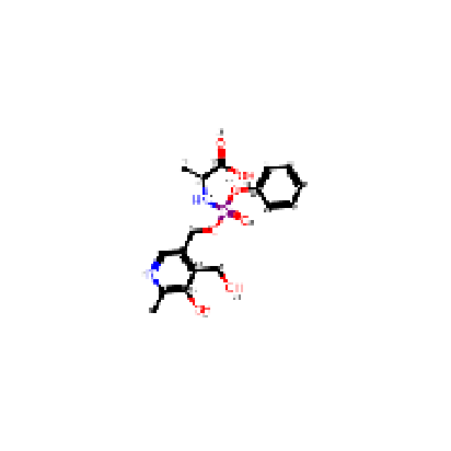 Cc1ncc(COP(=O)(N[C@@H](C)C(=O)O)Oc2ccccc2)c(CO)c1O